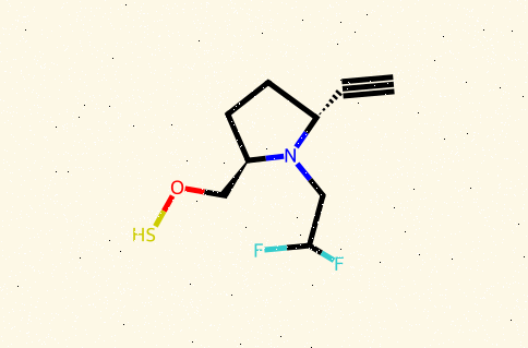 C#C[C@H]1CC[C@H](COS)N1CC(F)F